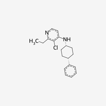 CCc1nccc(N[C@H]2CC[C@@H](c3ccccc3)CC2)c1Cl